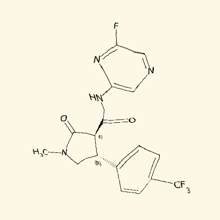 CN1C[C@@H](c2ccc(C(F)(F)F)cc2)[C@H](C(=O)Nc2cncc(F)n2)C1=O